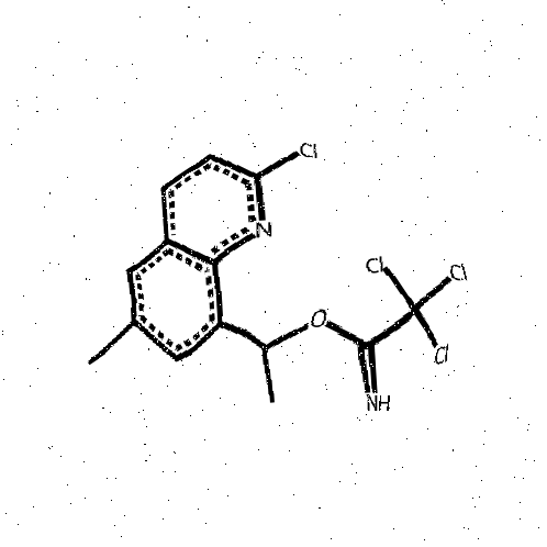 Cc1cc(C(C)OC(=N)C(Cl)(Cl)Cl)c2nc(Cl)ccc2c1